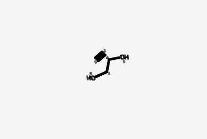 C#C.OCCO